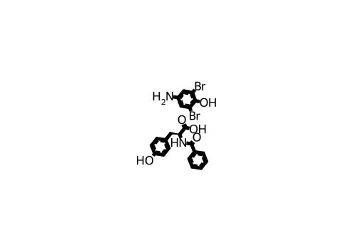 Nc1cc(Br)c(O)c(Br)c1.O=C(N[C@@H](Cc1ccc(O)cc1)C(=O)O)c1ccccc1